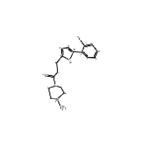 CN1CCN(C(=O)CCc2ccc(-c3ccccc3F)s2)CC1